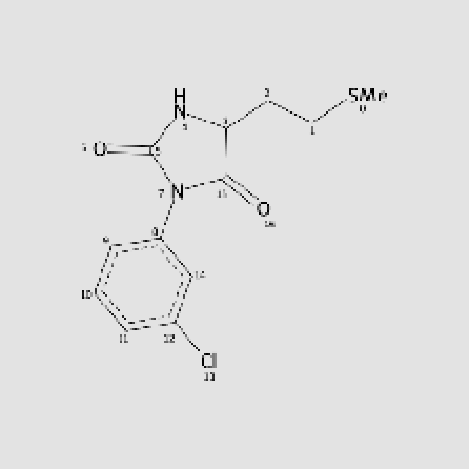 CSCCC1NC(=O)N(c2cccc(Cl)c2)C1=O